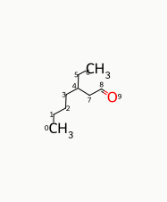 CCCCC(CC)CC=O